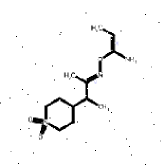 C/C=C(/N)O/N=C(\C)C(C)C1CCS(=O)(=O)CC1